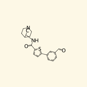 O=Cc1cccc(-c2ccc(C(=O)NC3CN4CCC3CC4)s2)c1